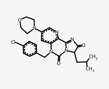 CC(C)CC1C(=O)N=C2c3ncc(N4CCOCC4)cc3N(Cc3ccc(Cl)cc3)C(=O)N21